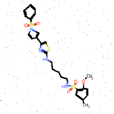 COc1ccc(C)cc1S(=O)(=O)NCCCCCNc1nc(-c2ccn(S(=O)(=O)c3ccccc3)c2)cs1